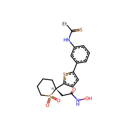 CCC(=S)Nc1cccc(-c2ccc([C@@]3(CC(=O)NO)CCCCS3(=O)=O)s2)c1